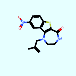 C=C(C)CN1CCNC(=O)c2sc3ccc([N+](=O)[O-])cc3c21